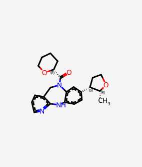 C[C@H]1OCC[C@H]1c1ccc2c(c1)N(C(=O)[C@H]1CCCCO1)Cc1cccnc1N2